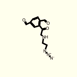 [N-]=[N+]=NCCNCC(=O)c1cc(C=O)ccc1C=O